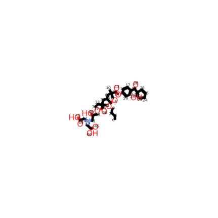 CCCCOC(=O)C(CC(C)(C)C(=O)Oc1ccc(C(=O)c2ccccc2)c(O)c1)CC(C)(CC)C(=O)OCC(O)CN(CC(=O)O)CC(=O)O